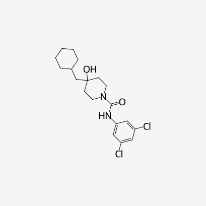 O=C(Nc1cc(Cl)cc(Cl)c1)N1CCC(O)(CC2CCCCC2)CC1